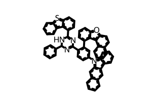 c1ccc(C2N=C(c3ccc(-n4c5ccccc5c5cc6ccccc6cc54)cc3-c3cccc4oc5ccc6ccccc6c5c34)N=C(c3cccc4sc5ccccc5c34)N2)cc1